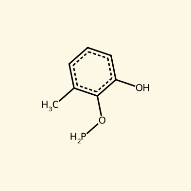 Cc1cccc(O)c1OP